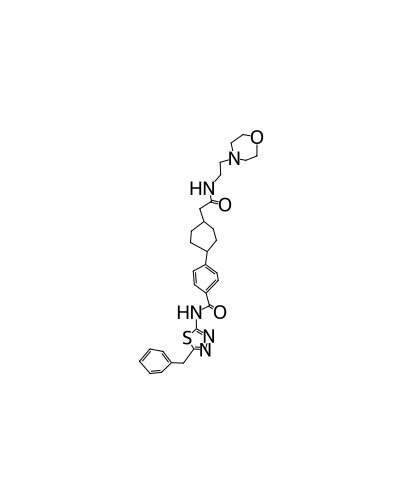 O=C(CC1CCC(c2ccc(C(=O)Nc3nnc(Cc4ccccc4)s3)cc2)CC1)NCCN1CCOCC1